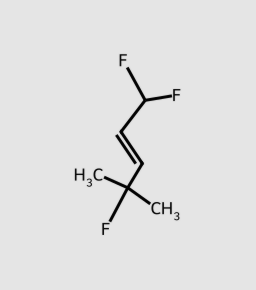 CC(C)(F)C=CC(F)F